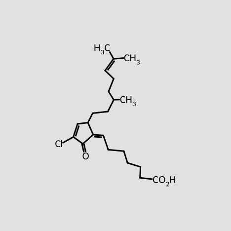 CC(C)=CCCC(C)CCC1C=C(Cl)C(=O)C1=CCCCCCC(=O)O